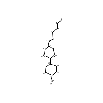 CCCCCOC1COC(C2CCC(Br)CC2)OC1